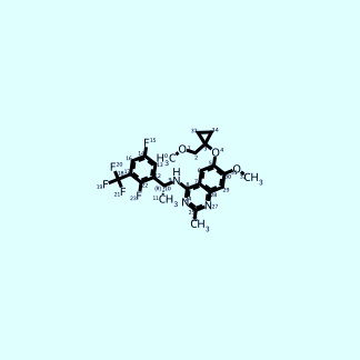 COCC1(Oc2cc3c(N[C@H](C)c4cc(F)cc(C(F)(F)F)c4F)nc(C)nc3cc2OC)CC1